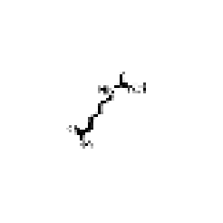 CC(=N)NCCCCCC(=O)C(C)C